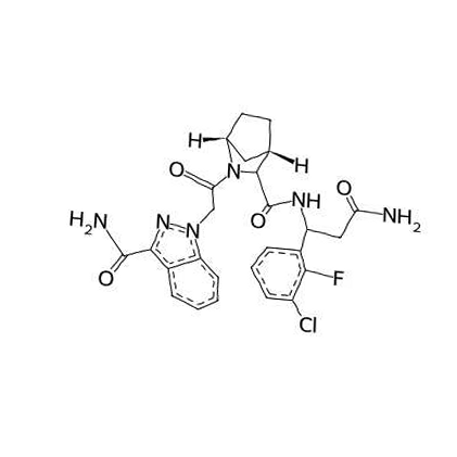 NC(=O)CC(NC(=O)C1[C@H]2CC[C@H](C2)N1C(=O)Cn1nc(C(N)=O)c2ccccc21)c1cccc(Cl)c1F